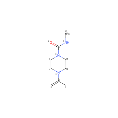 C=C(C)N1CCN(C(=O)NC(C)(C)C)CC1